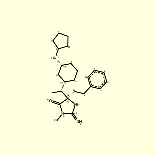 CC([C@H]1CCC[C@@H](NC2CCCC2)C1)[C@@]1(CCc2ccccc2)NC(=N)N(C)C1=O